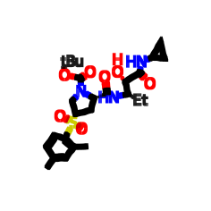 CC[C@H](NC(=O)[C@@H]1C[C@@H](S(=O)(=O)c2ccc(C)cc2C)CN1C(=O)OC(C)(C)C)[C@H](O)C(=O)NC1CC1